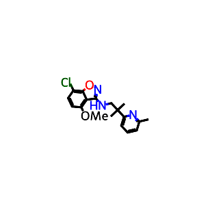 COc1ccc(Cl)c2onc(NCC(C)(C)c3cccc(C)n3)c12